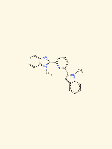 Cn1c(-c2cccc(-c3nc4ccccc4n3C)n2)cc2ccccc21